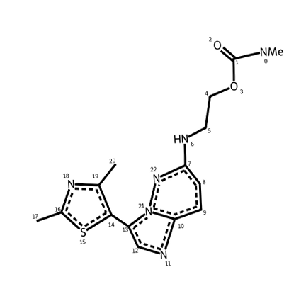 CNC(=O)OCCNc1ccc2ncc(-c3sc(C)nc3C)n2n1